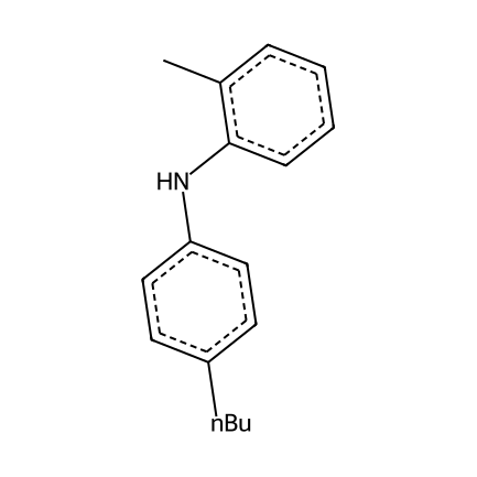 CCCCc1ccc(Nc2ccccc2C)cc1